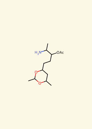 CC(=O)OC(CCC1CC(C)OC(C)O1)C(C)N